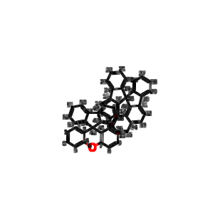 c1ccc2c(c1)Oc1cccc(-c3ccc4c(c3)C3(c5ccccc5-4)c4ccccc4-c4ccc5ccccc5c43)c1C21c2ccccc2-c2ccccc21